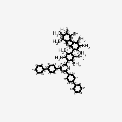 Bc1c(B)c(-c2c(B)c(B)c(B)c3c2sc2c(B)c(B)c(B)c(B)c23)c(B)c(B)c1-c1nc(-c2ccc(-c3ccccc3)cc2)nc(-c2ccc(-c3ccccc3)cc2)n1